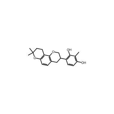 Cc1c(O)ccc(C2COc3c(ccc4c3CCC(C)(C)O4)C2)c1O